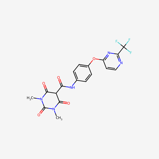 CN1C(=O)C(C(=O)Nc2ccc(Oc3ccnc(C(F)(F)F)n3)cc2)C(=O)N(C)C1=O